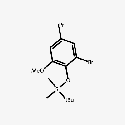 COc1cc(C(C)C)cc(Br)c1O[Si](C)(C)C(C)(C)C